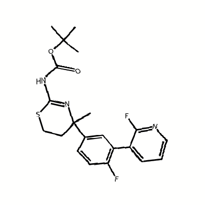 CC(C)(C)OC(=O)NC1=NC(C)(c2ccc(F)c(-c3cccnc3F)c2)CCS1